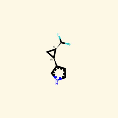 FC(F)[C@H]1C[C@@H]1c1cc[nH]c1